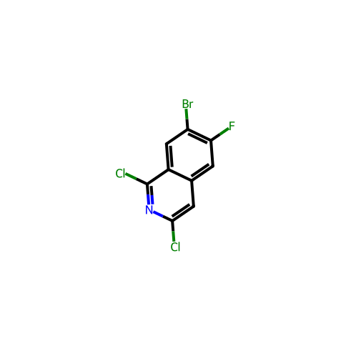 Fc1cc2cc(Cl)nc(Cl)c2cc1Br